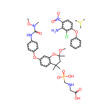 CON(C)C(=O)Nc1ccc(Oc2ccc3c(c2)OC(C)(OC)CC3(C)C)cc1.C[S+](C)C.Nc1c([N+](=O)[O-])ccc(Oc2ccccc2)c1Cl.O=C(O)CNCP(=O)([O-])O